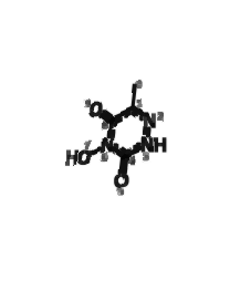 Cc1n[nH]c(=O)n(O)c1=O